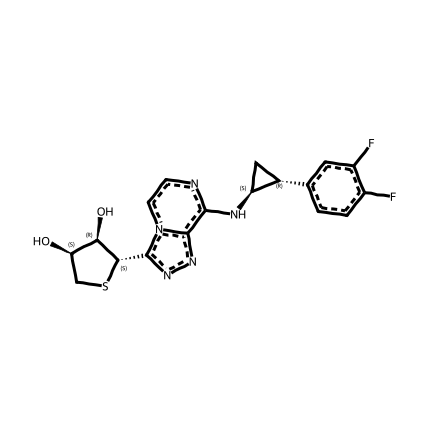 O[C@@H]1[C@H](O)CS[C@H]1c1nnc2c(N[C@H]3C[C@@H]3c3ccc(F)c(F)c3)nccn12